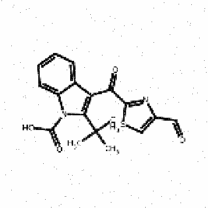 CC(C)(C)c1c(C(=O)c2nc(C=O)cs2)c2ccccc2n1C(=O)O